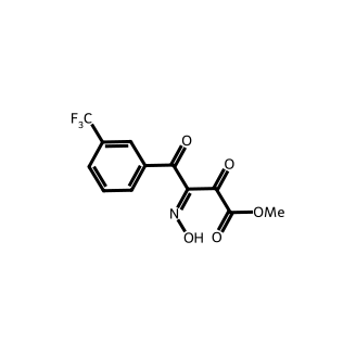 COC(=O)C(=O)C(=NO)C(=O)c1cccc(C(F)(F)F)c1